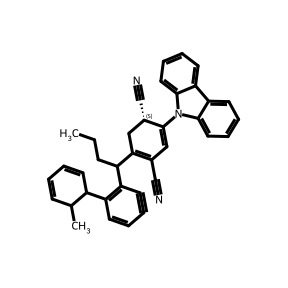 CCCC(C1=C(C#N)C=C(n2c3ccccc3c3ccccc32)[C@@H](C#N)C1)c1c#cccc1C1C=CC=CC1C